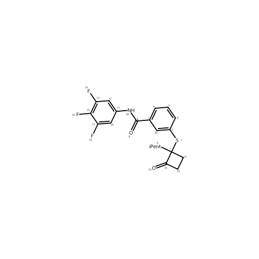 CCCC(C)C1(Sc2cccc(C(=O)Nc3cc(F)c(F)c(F)c3)c2)CCC1=O